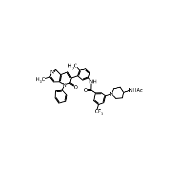 CC(=O)NC1CCN(c2cc(C(=O)Nc3ccc(C)c(-c4cc5cnc(C)cc5n(-c5ccccc5)c4=O)c3)cc(C(F)(F)F)c2)CC1